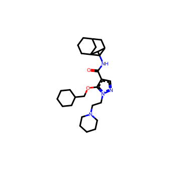 O=C(NC1C2CC3CCCC1(C3)C2)c1cnn(CCN2CCCCC2)c1OCC1CCCCC1